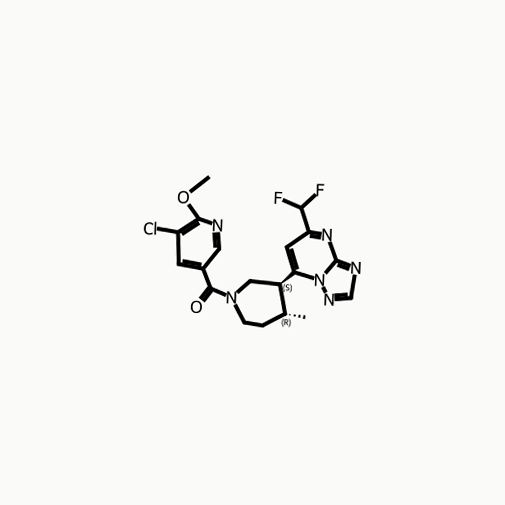 COc1ncc(C(=O)N2CC[C@@H](C)[C@H](c3cc(C(F)F)nc4ncnn34)C2)cc1Cl